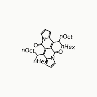 CCCCCCCCC(CCCCCC)c1c2c(=O)n3cccc3c(C(CCCCCC)CCCCCCCC)c2c(=O)n2cccc12